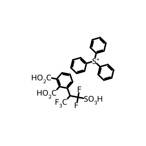 O=C(O)c1cccc(C(C(F)(F)F)C(F)(F)S(=O)(=O)O)c1C(=O)O.c1ccc([S+](c2ccccc2)c2ccccc2)cc1